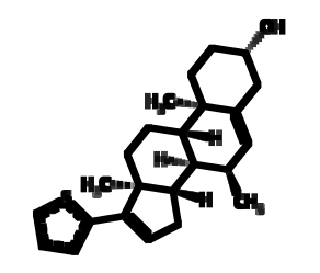 C[C@@H]1C=C2C[C@@H](O)CC[C@]2(C)[C@H]2CC[C@]3(C)C(c4cccs4)=CC[C@H]3[C@H]12